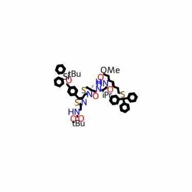 COC(=O)CC(/C=C/CCSC(c1ccccc1)(c1ccccc1)c1ccccc1)NC(=O)C(NC(=O)[C@]1(C)CSC(c2nc(CNC(=O)OC(C)(C)C)sc2-c2ccc(CO[Si](c3ccccc3)(c3ccccc3)C(C)(C)C)cc2)=N1)C(C)C